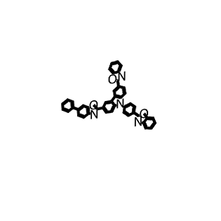 c1ccc(-c2ccc3nc(-c4ccc5c(c4)c4cc(-c6nc7ccccc7o6)ccc4n5-c4ccc(-c5nc6ccccc6o5)cc4)oc3c2)cc1